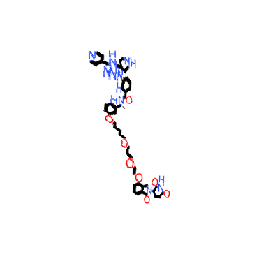 C[C@@H](NC(=O)c1cccc(NC2(c3nnc(-c4ccncc4)[nH]3)CCNCC2)c1)c1cccc(OCCCCCOCCCOCCOc2cccc3c2CN(C2CCC(=O)NC2=O)C3=O)c1